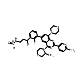 CC1COCCN1c1nc(-c2ccc(N)nc2)nc2c(N3CCOCC3)cc(-c3cccc(C(F)CCN[SH](=O)=O)c3F)cc12